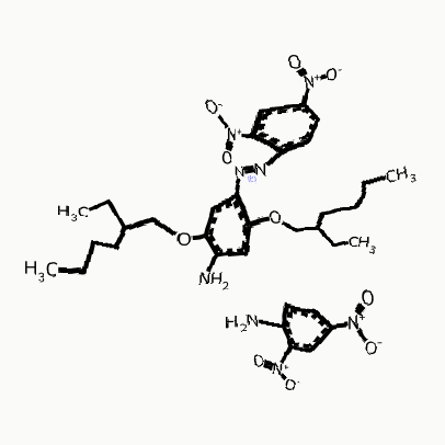 CCCCC(CC)COc1cc(/N=N/c2ccc([N+](=O)[O-])cc2[N+](=O)[O-])c(OCC(CC)CCCC)cc1N.Nc1ccc([N+](=O)[O-])cc1[N+](=O)[O-]